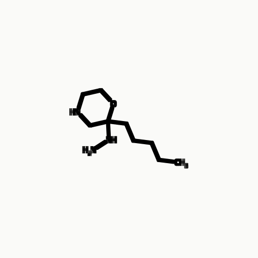 CCCCCC1(NN)CNCCO1